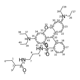 CCC(C)C(=O)NCCCNS(=O)(=O)c1ccccc1-c1c2ccc(=[N+](CC)CC)cc-2oc2cc(N(CC)CC)ccc12